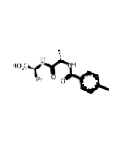 Cc1ccc(C(=O)N[C@@H](C)C(=O)N[C@H](C(=O)O)C(C)C)cc1